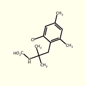 Cc1cc(C)c(CC(C)(C)NC(=O)O)c(Cl)c1